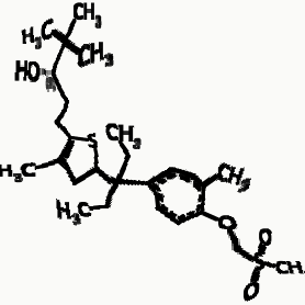 CCC(CC)(c1ccc(OCS(C)(=O)=O)c(C)c1)C1CC(C)=C(CC[C@H](O)C(C)(C)C)S1